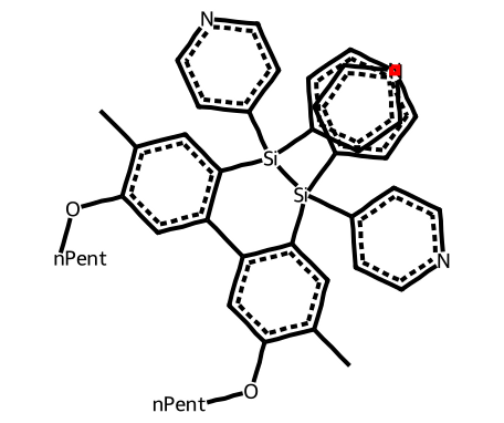 CCCCCOc1cc2c(cc1C)[Si](c1ccncc1)(c1ccncc1)[Si](c1ccncc1)(c1ccncc1)c1cc(C)c(OCCCCC)cc1-2